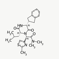 Cc1nc([C@H](C(=O)N(C)C)N2C(=O)[C@@H](C3Cc4ccccc4C3)NC(=O)[C@H]2CC(C)C)cs1